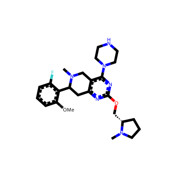 COc1cccc(F)c1C1Cc2nc(OC[C@@H]3CCCN3C)nc(N3CCNCC3)c2CN1C